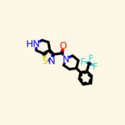 O=C(c1nsc2c1CCNC2)N1CCC(c2ccccc2C(F)(F)F)CC1